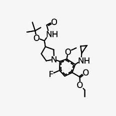 CCOC(=O)c1cc(F)c(N2CCC(C(NC=O)OC(C)(C)C)C2)c(OC)c1NC1CC1